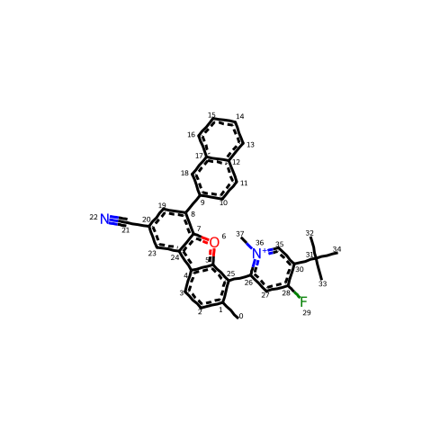 Cc1ccc2c(oc3c(-c4ccc5ccccc5c4)cc(C#N)cc32)c1-c1cc(F)c(C(C)(C)C)c[n+]1C